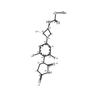 C[C@@H]1[C@@H](NC(=O)OC(C)(C)C)CN1c1cc(F)c(C2CCC(=O)NC2=O)c(F)c1